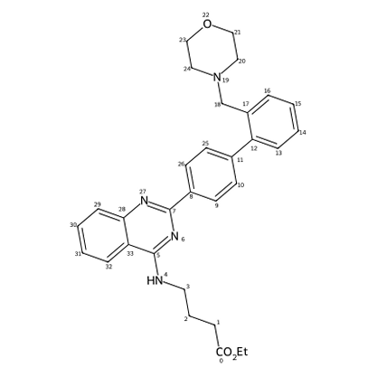 CCOC(=O)CCCNc1nc(-c2ccc(-c3ccccc3CN3CCOCC3)cc2)nc2ccccc12